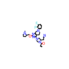 C=CC(=O)N1CCN(c2nc(OCC3CCCN3C)nc3c2CCN(c2cccc(F)c2F)C3)CC1CC#N